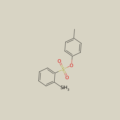 Cc1ccc(OS(=O)(=O)c2ccccc2[SiH3])cc1